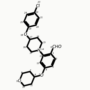 O=Cc1ccc(OC2CCOCC2)cc1N1CCC(Oc2ccc(Cl)cc2)CC1